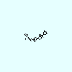 Cc1cc(-c2[nH]c3cc(-c4ccc(N5CC[C@@H](NCCO[Si](C)(C)C)C5)nc4)ccc3c2C)cc(C)n1